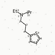 CCN(CCCc1cccs1)C(C)C